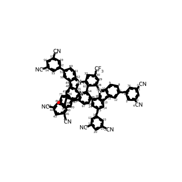 N#Cc1cc(C#N)cc(-c2ccc3c(c2)c2cc(-c4cc(C#N)cc(C#N)c4)ccc2n3-c2cc(C(F)(F)F)cc(-n3c4ccc(-c5cc(C#N)cc(C#N)c5)cc4c4cc(-c5cc(C#N)cc(C#N)c5)ccc43)c2-c2cccc(-c3ccccc3)n2)c1